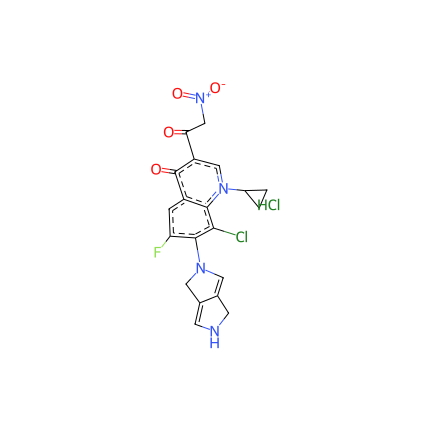 Cl.O=C(C[N+](=O)[O-])c1cn(C2CC2)c2c(Cl)c(N3C=C4CNC=C4C3)c(F)cc2c1=O